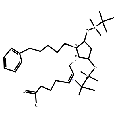 CC(C)(C)[Si](C)(C)OC1CC(O[Si](C)(C)C(C)(C)C)[C@H](CCCCCc2ccccc2)[C@H]1C/C=C\CCCC(=O)Cl